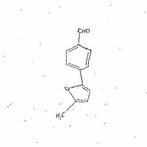 Cc1ccc(-c2ccc(C=O)cc2)o1